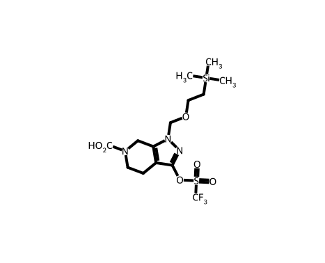 C[Si](C)(C)CCOCn1nc(OS(=O)(=O)C(F)(F)F)c2c1CN(C(=O)O)CC2